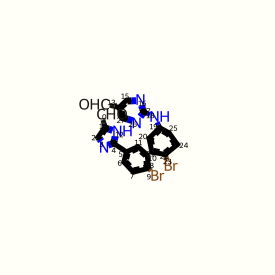 O=Cc1cnc(-c2ccc(Br)cc2)[nH]1.O=Cc1cnc(Nc2ccc(Br)cc2)nc1